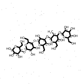 C[C@H]1C(O[C@@H]2OC(CO)[C@H](O)C(O)[C@@H]2O)[C@@H](O)C(CO)O[C@H]1O[C@@H]1C(O)[C@@H](O[C@H]2C(CO)O[C@@H](O[C@@H]3C(CO)O[C@@H](O)C(O)[C@H]3O)[C@@H](O)C2O)OC(CO)[C@@H]1O